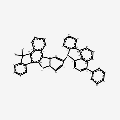 CC1(C)c2ccccc2-c2c3c(c4ccccc4c21)C1C=C(N(C2=CC=C(c4ccccc4)CC2)c2ccccc2-c2ccccc2)C=CC1O3